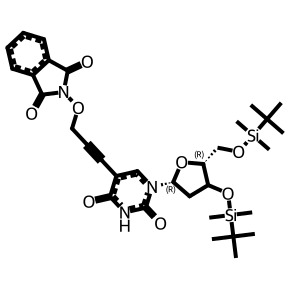 CC(C)(C)[Si](C)(C)OC[C@H]1O[C@@H](n2cc(C#CCON3C(=O)c4ccccc4C3=O)c(=O)[nH]c2=O)CC1O[Si](C)(C)C(C)(C)C